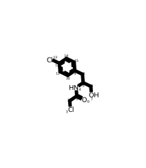 O=C(CCl)NC(CO)Cc1ccc(Cl)cc1